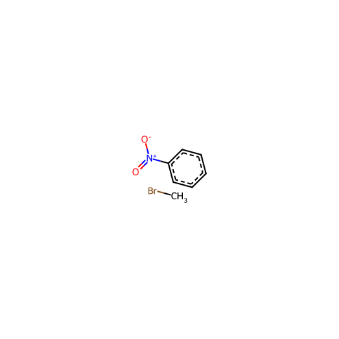 CBr.O=[N+]([O-])c1ccccc1